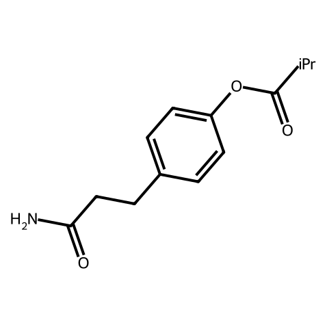 CC(C)C(=O)Oc1ccc(CCC(N)=O)cc1